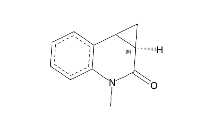 CN1C(=O)[C@@H]2CC2c2ccccc21